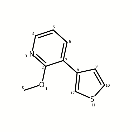 COc1ncccc1-c1ccsc1